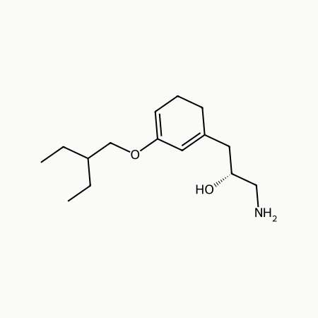 CCC(CC)COC1=CCCC(C[C@@H](O)CN)=C1